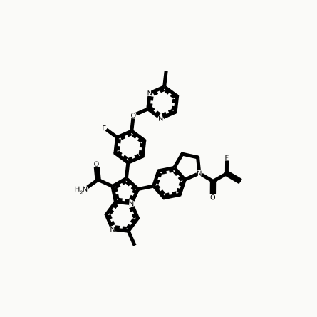 C=C(F)C(=O)N1CCc2cc(-c3c(-c4ccc(Oc5nccc(C)n5)c(F)c4)c(C(N)=O)c4cnc(C)cn34)ccc21